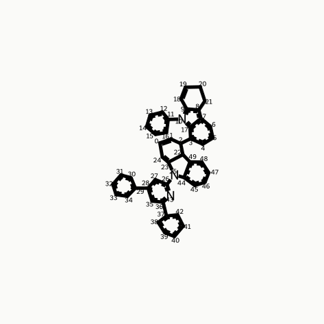 C1=CC(c2cccc3c4c(n(-c5ccccc5)c23)C=CCC4)C2C(=C1)N(c1cc(-c3ccccc3)cc(-c3ccccc3)n1)c1ccccc12